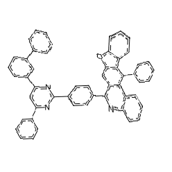 c1ccc(-c2cccc(-c3cc(-c4ccccc4)nc(-c4ccc(-c5nc6ccccc6c6c(-c7ccccc7)c7c(cc56)oc5ccccc57)cc4)n3)c2)cc1